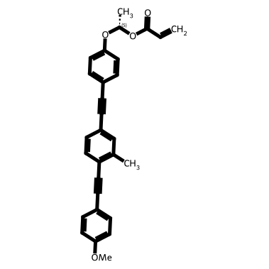 C=CC(=O)O[C@@H](C)Oc1ccc(C#Cc2ccc(C#Cc3ccc(OC)cc3)c(C)c2)cc1